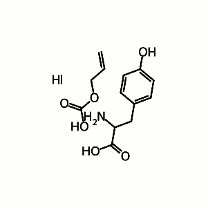 C=CCOC(=O)O.I.NC(Cc1ccc(O)cc1)C(=O)O